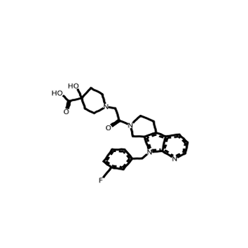 O=C(CN1CCC(O)(C(=O)O)CC1)N1CCc2c(n(Cc3cccc(F)c3)c3ncccc23)C1